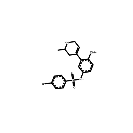 COc1ccc(NS(=O)(=O)c2ccc(Br)cc2)cc1C1=CCNC(C)C1